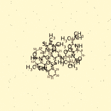 CN[C@@H](C)C(=O)N[C@H]1CCO[C@H]2CC(C)(C)C(C(=O)Nc3ccccc3SSc3ccccc3NC(=O)C3N4C(=O)[C@@H](NC(=S)[C@H](C)NC)CCO[C@H]4CC3(C)C)N2C1=O